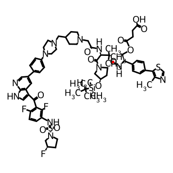 Cc1ncsc1-c1ccc([C@H](COC(=O)CCC(=O)O)NC(=O)[C@@H]2C[C@@H](O[Si](C)(C)C(C)(C)C)CN2C(=O)[C@@H](NC(=O)CN2CCC(CN3CCN(c4ccc(-c5cnc6[nH]cc(C(=O)c7c(F)ccc(NS(=O)(=O)N8CC[C@@H](F)C8)c7F)c6c5)cc4)CC3)CC2)C(C)(C)C)cc1